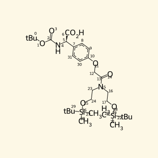 CC(C)(C)OC(=O)N[C@@H](C(=O)O)c1ccc(OCC(=O)N(CCO[Si](C)(C)C(C)(C)C)CCO[Si](C)(C)C(C)(C)C)cc1